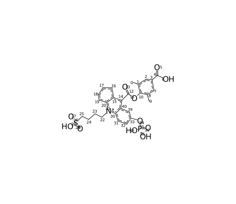 Cc1cc(C(=O)O)cc(C)c1OC(=O)c1c2ccccc2[n+](CCCCS(=O)(=O)O)c2ccc(OP(=O)(O)O)cc12